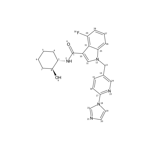 O=C(N[C@H]1CCCC[C@@H]1O)c1cn(Cc2ccc(-n3ccnc3)nc2)c2cccc(F)c12